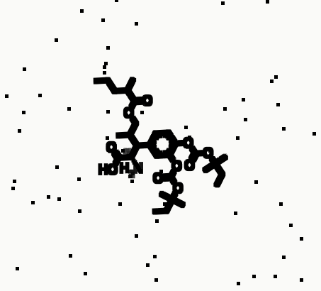 CCCC(C)C(=O)OCC(C)C(c1ccc(OC(=O)OC(C)(C)CC)c(OC(=O)OC(C)(C)CC)c1)[C@H](N)C(=O)O